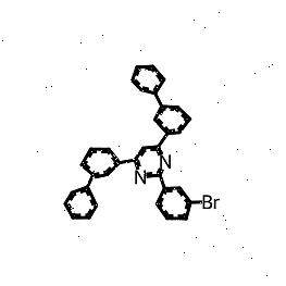 Brc1cccc(-c2nc(-c3cccc(-c4ccccc4)c3)cc(-c3cccc(-c4ccccc4)c3)n2)c1